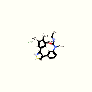 CCC(C)CNC(=O)N(OC)c1cccc(-c2csnc2-c2cc(OC)c(OC)c(OC)c2)c1.Cl